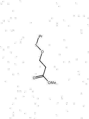 COC(=O)CCOSC(C)C